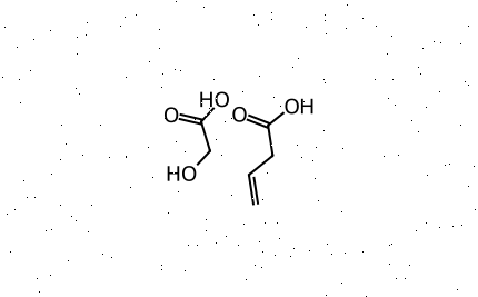 C=CCC(=O)O.O=C(O)CO